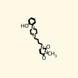 Cn1c(=O)ccn(CCCCN2CCN(c3ccccc3O)CC2)c1=O